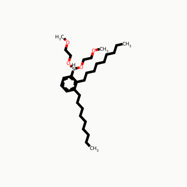 CCCCCCCCCc1cccc([SiH](OCCOC)OCCOC)c1CCCCCCCCC